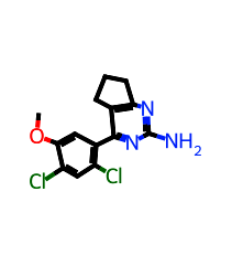 COc1cc(-c2nc(N)nc3c2CCC3)c(Cl)cc1Cl